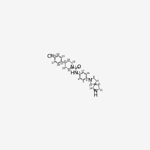 O=C(Nc1ccc(N2CCC3(CCNC3)C2)cc1)N1CCC(c2ccc(Cl)cc2)CC1